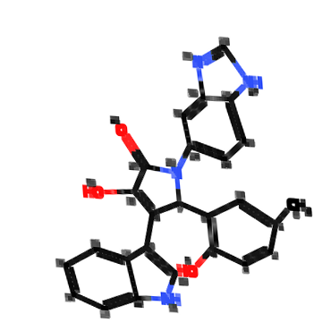 Cc1ccc(O)c(C2C(c3c[nH]c4ccccc34)=C(O)C(=O)N2c2ccc3[nH]cnc3c2)c1